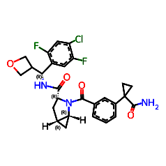 NC(=O)C1(c2cccc(C(=O)N3[C@@H](C(=O)N[C@@H](c4cc(F)c(Cl)cc4F)C4COC4)C[C@H]4C[C@H]43)c2)CC1